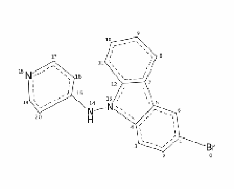 Brc1ccc2c(c1)c1ccccc1n2Nc1ccncc1